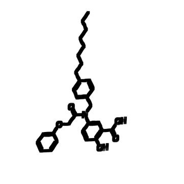 CCCCCCCCc1ccc(CN(C(=O)COc2ccccc2)c2ccc(O)c(C(=O)O)c2)cc1